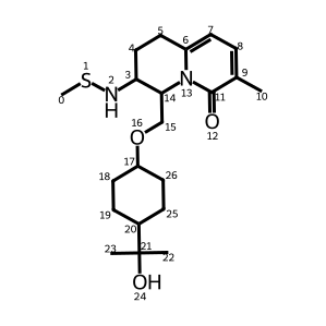 CSNC1CCc2ccc(C)c(=O)n2C1COC1CCC(C(C)(C)O)CC1